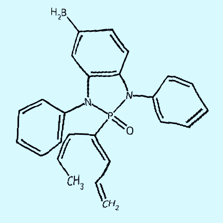 Bc1ccc2c(c1)N(c1ccccc1)P(=O)(C(/C=C\C)=C/C=C)N2c1ccccc1